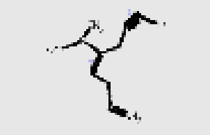 C=CC/C=C(\C/C=C\CC)N(C)C